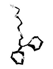 CCSCCSCC(c1ccccn1)c1ccccn1